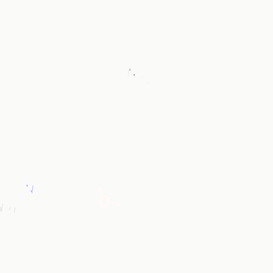 CCCCN1CCC(c2ccc([N+](=O)[O-])cc2)C(COc2ccc(C(F)(F)F)cc2)C1